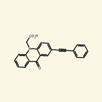 O=C(O)Cn1c2ccccc2c(=O)c2cc(C#Cc3ccccc3)ccc21